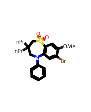 CCCC1(CCC)CN(c2ccccc2)c2cc(Br)c(OC)cc2S(=O)(=O)C1